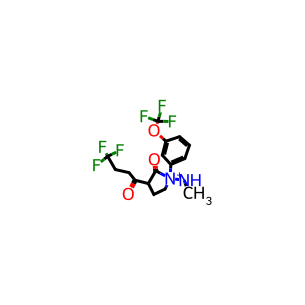 CN[N+]1(c2cccc(OC(F)(F)F)c2)CCC(C(=O)CCC(F)(F)F)C1=O